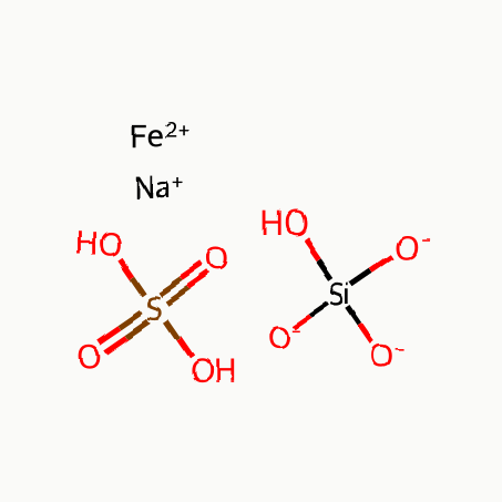 O=S(=O)(O)O.[Fe+2].[Na+].[O-][Si]([O-])([O-])O